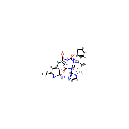 CCC[C@@H](NC(=O)N1C(=O)[C@H](Cc2cc(C)nc(N)c2)[C@H]1C(=O)N(C)c1nccn1C)c1ccccc1